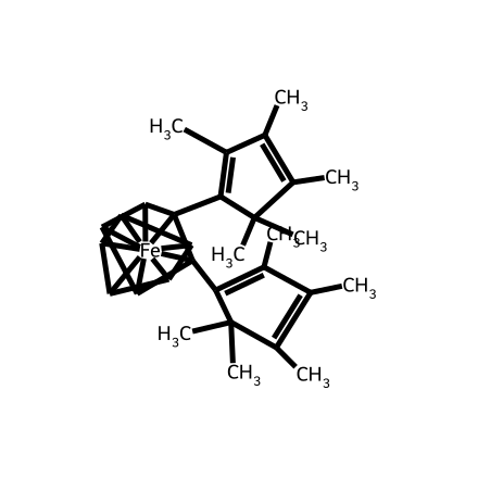 CC1=C(C)C(C)(C)C([C]23[CH]4[CH]5[CH]6[C]2(C2=C(C)C(C)=C(C)C2(C)C)[Fe]54632789[CH]3[CH]2[CH]7[CH]8[CH]39)=C1C